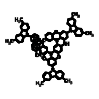 Cc1ccc2c(c1)B1c3cc4c(cc3Nc3cc(-n5c6ccc(C)cc6c6cc(C)ccc65)cc(c31)O2)Oc1cc(-n2c3ccc(C)cc3c3cc(C)ccc32)cc2c1B4c1cc3c(cc1O2)Oc1cc(-n2c4ccc(C)cc4c4cc(C)ccc42)cc2c1B3c1cc(C)ccc1O2